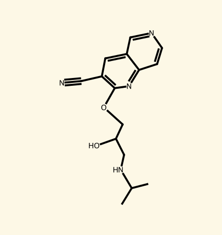 CC(C)NCC(O)COc1nc2ccncc2cc1C#N